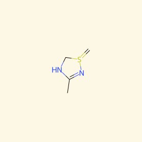 C=S1CNC(C)=N1